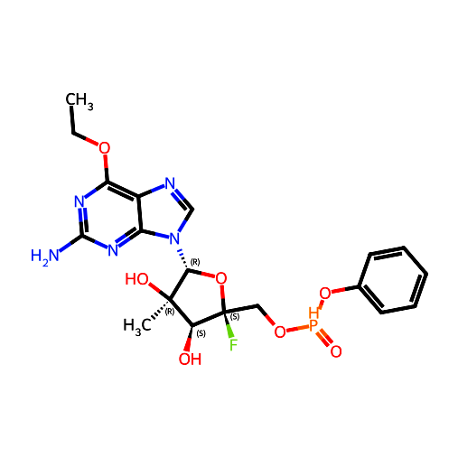 CCOc1nc(N)nc2c1ncn2[C@@H]1O[C@](F)(CO[PH](=O)Oc2ccccc2)[C@@H](O)[C@@]1(C)O